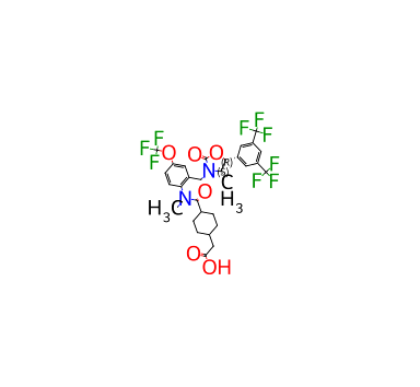 C[C@H]1[C@@H](c2cc(C(F)(F)F)cc(C(F)(F)F)c2)OC(=O)N1Cc1cc(OC(F)(F)F)ccc1N(C)C(=O)C1CCC(CC(=O)O)CC1